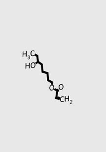 C=CC(=O)OCCCCCC(O)CC